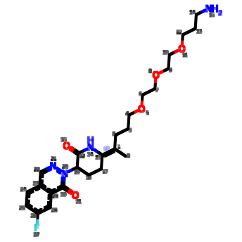 C/C(CCCOCCOCCOCCCN)=C1\CCC(n2ncc3ccc(F)cc3c2=O)C(=O)N1